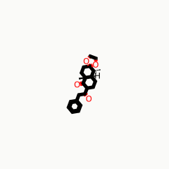 C[C@@H]1[C@H]2CCC(C(=O)Cc3ccccc3)C(=O)[C@]2(C)CCC12OCCO2